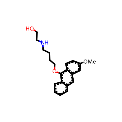 COc1ccc2c(OCCCCNCCO)c3ccccc3cc2c1